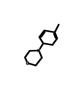 CC1=CCC(N2CCOCC2)C=C1